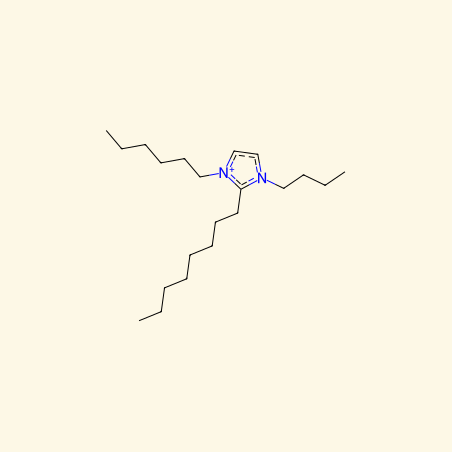 CCCCCCCCc1n(CCCC)cc[n+]1CCCCCC